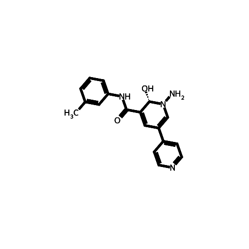 Cc1cccc(NC(=O)C2=CC(c3ccncc3)=CN(N)[C@H]2O)c1